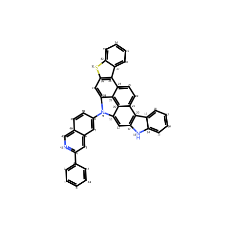 c1ccc(-c2cc3cc(-n4c5cc6[nH]c7ccccc7c6c6ccc7c8c(cc4c7c65)sc4ccccc48)ccc3cn2)cc1